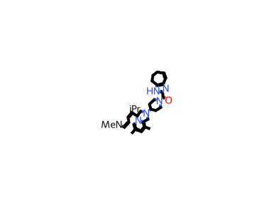 CN/C=C\C=C(/CCN(Cc1ncc(C)cc1C)C1CCN(C(=O)c2nc3c([nH]2)CCCC=C3)CC1)C(C)C